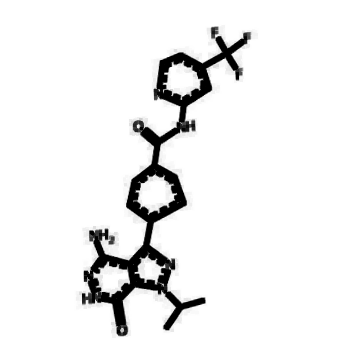 CC(C)n1nc(-c2ccc(C(=O)Nc3cc(C(F)(F)F)ccn3)cc2)c2c(N)n[nH]c(=O)c21